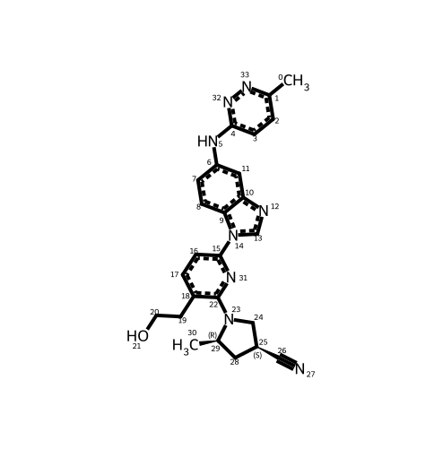 Cc1ccc(Nc2ccc3c(c2)ncn3-c2ccc(CCO)c(N3C[C@@H](C#N)C[C@H]3C)n2)nn1